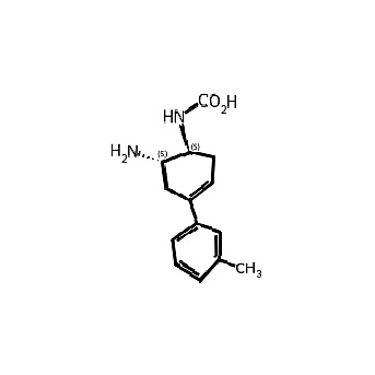 Cc1cccc(C2=CC[C@H](NC(=O)O)[C@@H](N)C2)c1